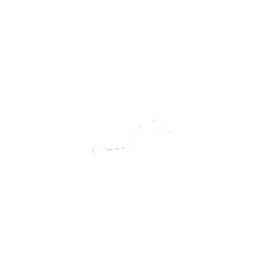 O.O=PO.[BiH3]